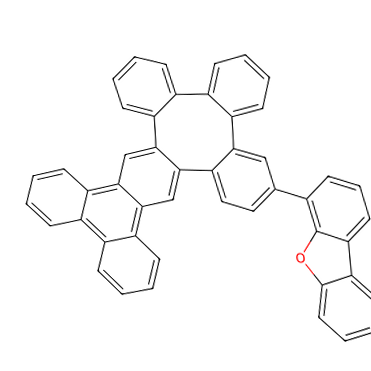 c1ccc2c(c1)-c1ccccc1-c1cc3c4ccccc4c4ccccc4c3cc1-c1ccc(-c3cccc4c3oc3ccccc34)cc1-2